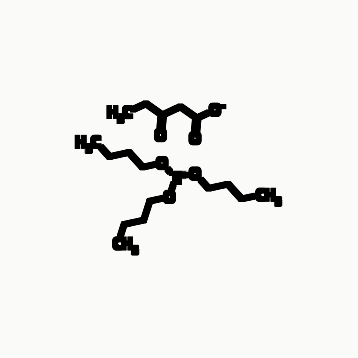 CCC(=O)CC(=O)[O-].CCCC[O][Ti+]([O]CCCC)[O]CCCC